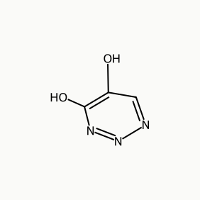 Oc1cnnnc1O